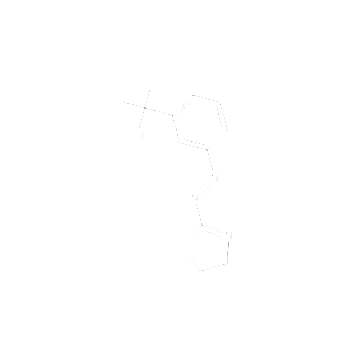 FC(Cl)(Cl)c1cccc(N=NC2=NCCS2)c1